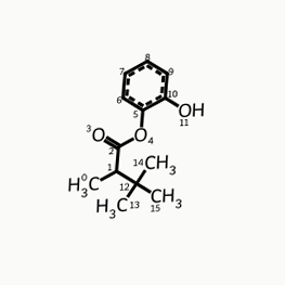 CC(C(=O)Oc1ccccc1O)C(C)(C)C